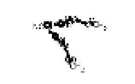 C=CC(=O)OCCCCOc1cnc(-c2ccc(COc3ccc(C#N)cc3OCc3ccc(-c4ncc(OCCCCOC(=O)C=C)cn4)cc3)cc2)nc1